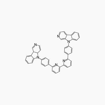 C1=CC2C(C=N1)c1ccccc1N2c1ccc(-c2cccc(-c3cccc(-c4ccc(-n5c6ccccc6c6ccncc65)cc4)n3)n2)cc1